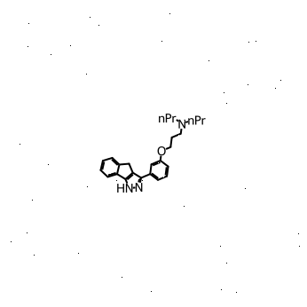 CCCN(CCC)CCCOc1cccc(-c2n[nH]c3c2Cc2ccccc2-3)c1